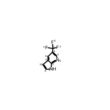 FC(F)(F)c1cnc2[nH]ccc2c1